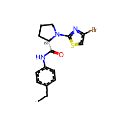 [CH2]Cc1ccc(NC(=O)[C@@H]2CCCN2c2nc(Br)cs2)cc1